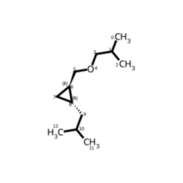 CC(C)COC[C@@H]1C[C@H]1CC(C)C